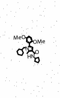 COc1ccc(OC)c(-c2cc(C(=O)NC3CCCC3)c(C)n2CC2CCCCC2)c1